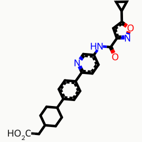 O=C(O)CC1CCC(c2ccc(-c3ccc(NC(=O)c4cc(C5CC5)on4)cn3)cc2)CC1